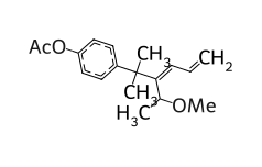 C=C/C=C(\C(C)OC)C(C)(C)c1ccc(OC(C)=O)cc1